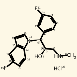 CNC[C@@H](O)[C@H](c1cccc(F)c1)n1ccc2cc(F)ccc21.Cl